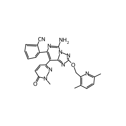 Cc1ccc(C)c(COc2nc3c(-c4ccc(=O)n(C)n4)c(-c4ccccc4C#N)nc(N)n3n2)n1